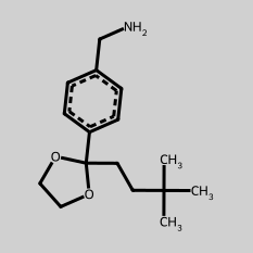 CC(C)(C)CCC1(c2ccc(CN)cc2)OCCO1